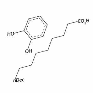 CCCCCCCCCCCCCCCCCC(=O)O.Oc1ccccc1O